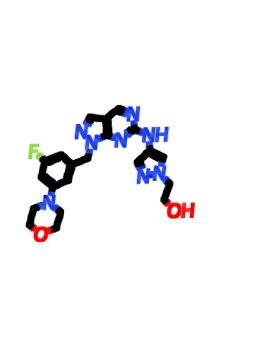 OCCn1cc(Nc2ncc3cnn(Cc4cc(F)cc(N5CCOCC5)c4)c3n2)cn1